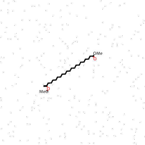 C=C(CCCCCCCCCCCCCCCCCCCC(=O)OC)OOC